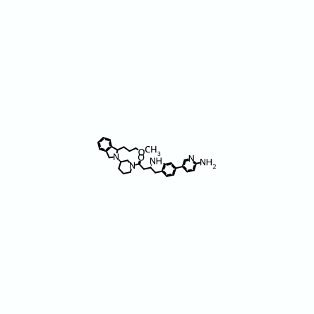 COCCCC1c2ccccc2CN1[C@@H]1CCCN(C(=O)C[C@H](N)Cc2ccc(-c3ccc(N)nc3)cc2)C1